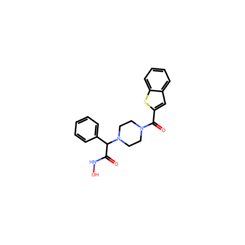 O=C(NO)C(c1ccccc1)N1CCN(C(=O)c2cc3ccccc3s2)CC1